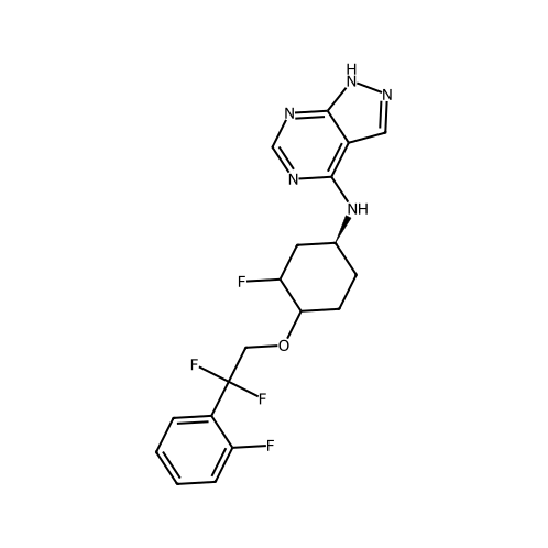 Fc1ccccc1C(F)(F)COC1CC[C@H](Nc2ncnc3[nH]ncc23)CC1F